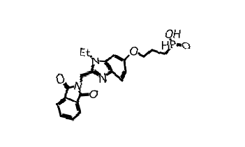 CCn1c(CN2C(=O)c3ccccc3C2=O)nc2ccc(OCCC[PH](=O)O)cc21